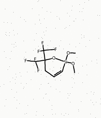 CO[Si]1(OC)C=CCC(C(F)(F)F)(C(F)(F)F)O1